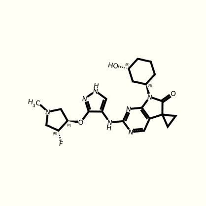 CN1C[C@@H](F)[C@H](Oc2n[nH]cc2Nc2ncc3c(n2)N([C@@H]2CCC[C@@H](O)C2)C(=O)C32CC2)C1